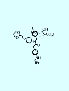 CC(C)CNc1ccc(CC(=O)N(Cc2ccc(F)cc2)C2CCN(CCC3OCCCO3)CC2)cc1.O=C(O)C(O)C(O)C(=O)O